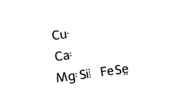 [Ca].[Cu].[Fe].[Mg].[Se].[Si]